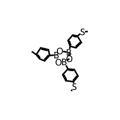 CSc1ccc(B2OB(c3ccc(C)cc3)OB(c3ccc(SC)cc3)O2)cc1